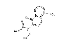 COC(=O)[C@@H](CO)n1ccc2c([N+](=O)[O-])cccc2c1=O